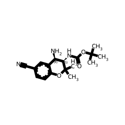 CC(C)(C)OC(=O)N[C@H]1[C@H](N)c2cc(C#N)ccc2OC1(C)C